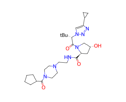 CC(C)(C)[C@@H](C(=O)N1C[C@H](O)C[C@H]1C(=O)NCCN1CCN(C(=O)C2CCCC2)CC1)n1cc(C2CC2)nn1